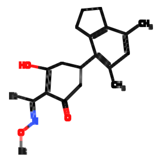 CCON=C(CC)C1=C(O)CC(c2c(C)cc(C)c3c2CCC3)CC1=O